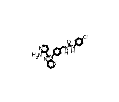 Nc1ncccc1-c1nc2cccnc2n1-c1ccc(CNC(=O)Nc2ccc(Cl)cc2)cc1